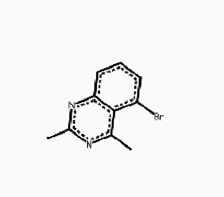 Cc1nc(C)c2c(Br)cccc2n1